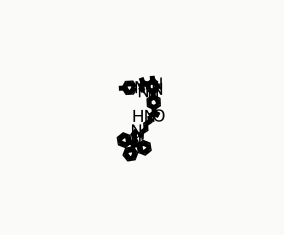 Cc1ccc(-n2nc3c(N4CCC(C(=O)NCCCc5cn(C(c6ccccc6)(c6ccccc6)c6ccccc6)cn5)CC4)nnc(C)c3c2C)cc1